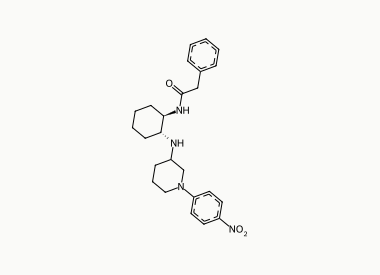 O=C(Cc1ccccc1)N[C@@H]1CCCC[C@H]1NC1CCCN(c2ccc([N+](=O)[O-])cc2)C1